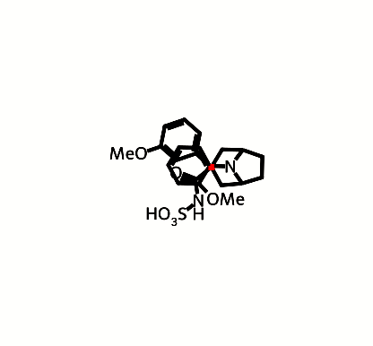 COc1cccc(C2(C(=O)NS(=O)(=O)O)CC3CCC(C2)N3c2ccccc2OC)c1